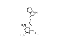 CCc1nc(N)nc(N)c1OCCCc1c[nH]c2ccccc12